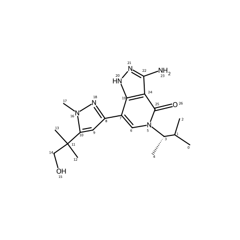 CC(C)[C@H](C)n1cc(-c2cc(C(C)(C)CO)n(C)n2)c2[nH]nc(N)c2c1=O